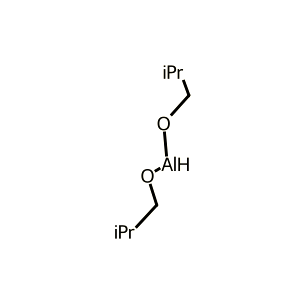 CC(C)C[O][AlH][O]CC(C)C